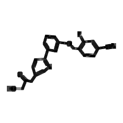 N#Cc1ccc(COc2cccc(-c3ccc(CC(=O)CO)cn3)c2)c(F)c1